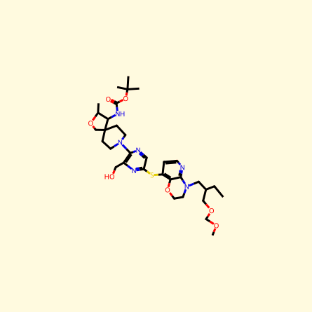 CCC(COCOC)CN1CCOc2c(Sc3cnc(N4CCC5(CC4)COC(C)C5NC(=O)OC(C)(C)C)c(CO)n3)ccnc21